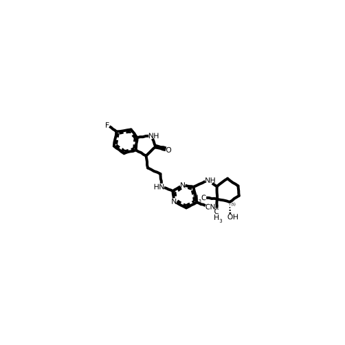 CC1(C)C(Nc2nc(NCCC3C(=O)Nc4cc(F)ccc43)ncc2C#N)CCC[C@@H]1O